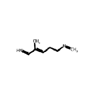 C=NCC/C=C(\C)C=N